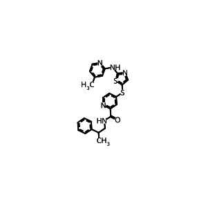 Cc1ccnc(Nc2ncc(Sc3ccnc(C(=O)NCC(C)c4ccccc4)c3)s2)c1